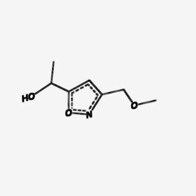 COCc1cc(C(C)O)on1